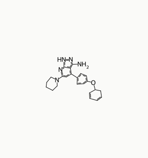 Nc1n[nH]c2nc(N3CCCCC3)cc(-c3ccc(OC4C=CC=CC4)cc3)c12